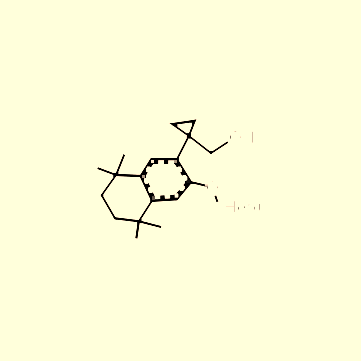 CCCCCCCOc1cc2c(cc1C1(CO)CC1)C(C)(C)CCC2(C)C